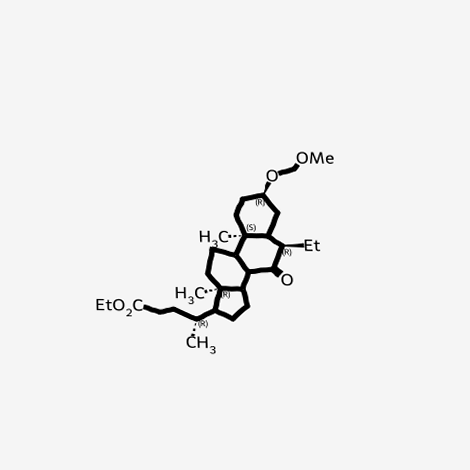 CCOC(=O)CC[C@@H](C)C1CCC2C3C(=O)[C@H](CC)C4C[C@H](OCOC)CC[C@]4(C)C3CC[C@@]21C